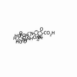 COc1c(N2CCCC(NC(=O)OC(C)(PO)P(=O)(O)O)C2)ccc2c(=O)c(C(=O)O)cn(C3CC3)c12